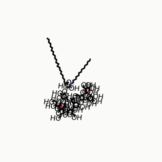 CCCCCCCCCCCCC/C=C/[C@@H](O)[C@H](CO[C@@H]1OC(CO)[C@@H](O[C@@H]2OC(CO)[C@H](O)[C@H](O[C@@H]3OC(CO)[C@@H](O[C@@H]4OC(CO)[C@H](O)[C@H](O[C@@H]5OC(CO)[C@@H](O[C@@H]6OC(CO)[C@H](O)[C@H](O[C@H]7OC(CO)[C@H](O)[C@H](O)C7O)C6O[C@H]6OC(C)[C@@H](O)C(O)[C@@H]6O)[C@H](O)C5NC(C)=O)C4O)[C@H](O)C3NC(C)=O)C2O)[C@H](O)C1O)NC(=O)CCCCCCCCCCCCCCCCCCCCCCC